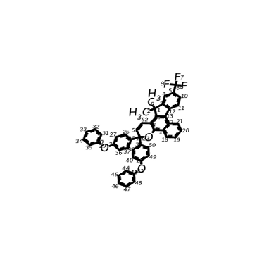 CC1(C)c2cc(C(F)(F)F)ccc2-c2c1c1c(c3ccccc23)OC(c2ccc(Oc3ccccc3)cc2)(c2ccc(Oc3ccccc3)cc2)C=C1